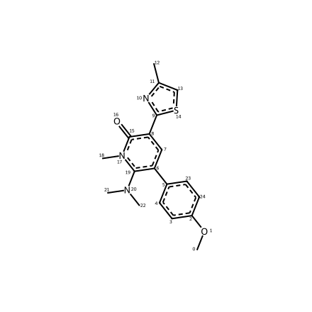 COc1ccc(-c2cc(-c3nc(C)cs3)c(=O)n(C)c2N(C)C)cc1